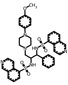 COc1ccc(N2CCN(CC(NS(=O)(=O)c3cccc4cnccc34)C(NS(=O)(=O)c3cccc4cnccc34)c3ccccc3)CC2)cc1